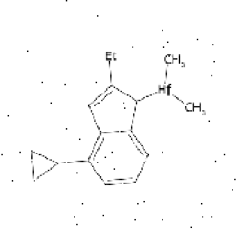 CCC1=Cc2c(C3CC3)cccc2[CH]1[Hf]([CH3])[CH3]